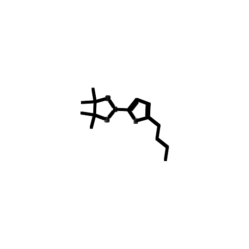 CCCCc1ccc(B2OC(C)(C)C(C)(C)O2)s1